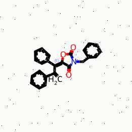 C=C(/C(=C1/OC(=O)N(Cc2ccccc2)C1=O)c1ccccc1)c1ccccc1